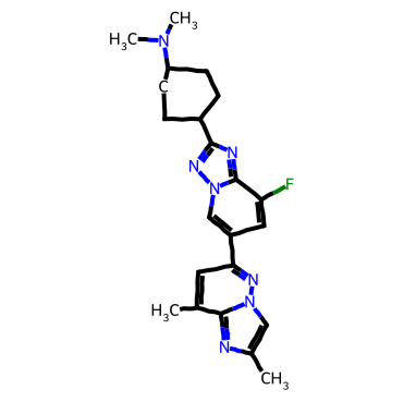 Cc1cn2nc(-c3cc(F)c4nc(C5CCC(N(C)C)CC5)nn4c3)cc(C)c2n1